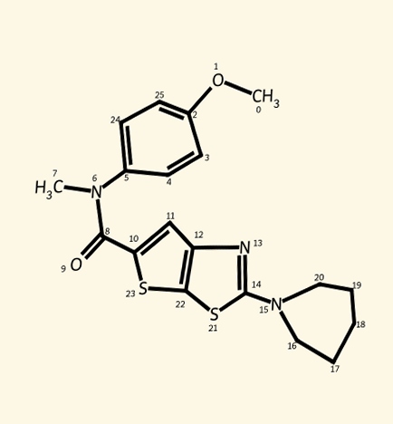 COc1ccc(N(C)C(=O)c2cc3nc(N4CCCCC4)sc3s2)cc1